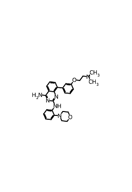 CN(C)CCOc1cccc(-c2cccc3c(N)nc(Nc4ccccc4N4CCOCC4)nc23)c1